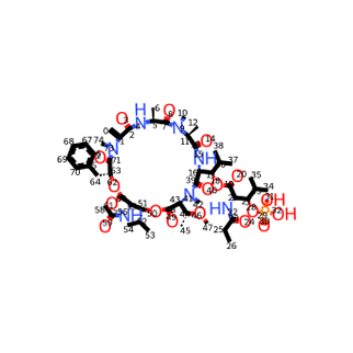 C=C1C(=O)N[C@@H](C)C(=O)N(C)[C@@H](C)C(=O)N[C@@H]([C@H](OC(=O)[C@@H](NC(=O)CC)[C@H](OP(=O)(O)O)C(C)C)C(C)C)C(=O)N(C)[C@@H]([C@@H](C)OC)C(=O)O[C@H](C(C)C)[C@H](NC(C)=O)C(=O)O[C@H](Cc2ccccc2)C(=O)N1C